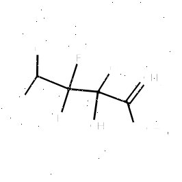 C=C(C(=O)O)C(C)(C)C(F)(F)C(F)C(F)(F)F